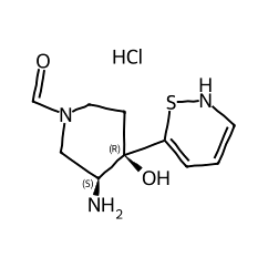 Cl.N[C@H]1CN(C=O)CC[C@]1(O)C1=CC=CNS1